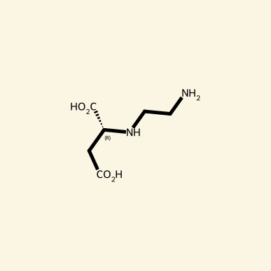 NCCN[C@H](CC(=O)O)C(=O)O